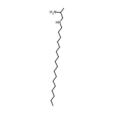 CCCCCCCCCCCCCCCCCNCC(C)N